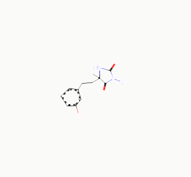 CC1(CCc2cccc(O)c2)NC(=O)N(N)C1=O